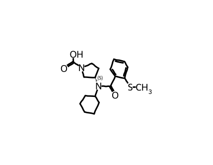 CSc1ccccc1C(=O)N(C1CCCCC1)[C@H]1CCN(C(=O)O)C1